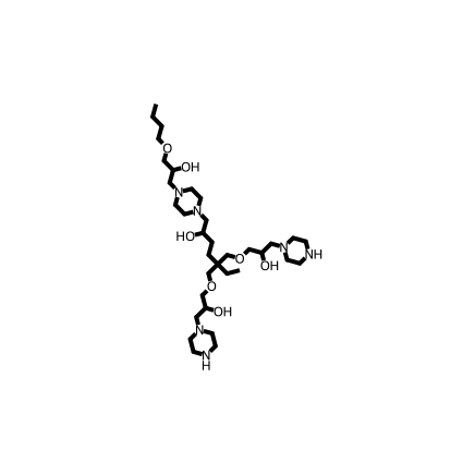 CCCCOCC(O)CN1CCN(CC(O)CCC(CC)(COCC(O)CN2CCNCC2)COCC(O)CN2CCNCC2)CC1